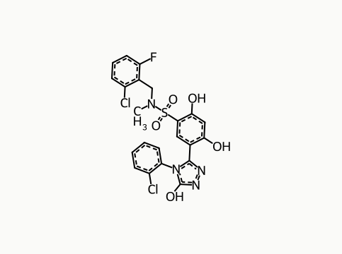 CN(Cc1c(F)cccc1Cl)S(=O)(=O)c1cc(-c2nnc(O)n2-c2ccccc2Cl)c(O)cc1O